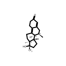 C[C@@H]1CC2=CC(=O)CCC2=C2CC[C@@]3(C)[C@@H](CC[C@@]3(O)C(F)(F)F)[C@@H]21